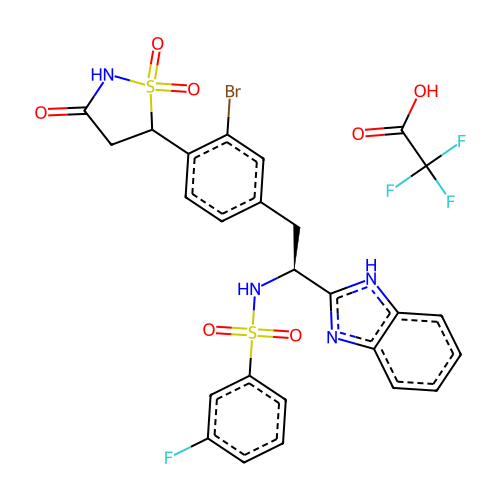 O=C(O)C(F)(F)F.O=C1CC(c2ccc(C[C@H](NS(=O)(=O)c3cccc(F)c3)c3nc4ccccc4[nH]3)cc2Br)S(=O)(=O)N1